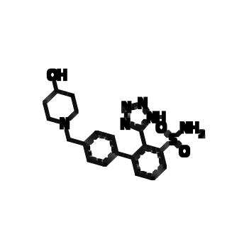 NS(=O)(=O)c1cccc(-c2ccc(CN3CCC(O)CC3)cc2)c1-c1nnn[nH]1